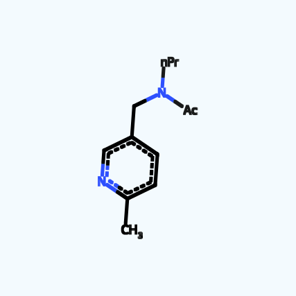 CCCN(Cc1ccc(C)nc1)C(C)=O